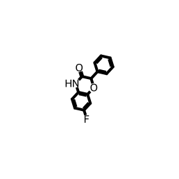 O=C1Nc2ccc(F)cc2OC1c1ccccc1